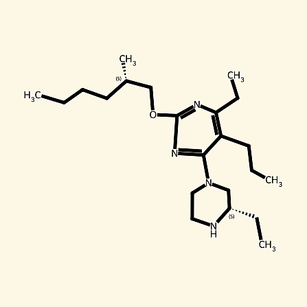 CCCC[C@H](C)COc1nc(CC)c(CCC)c(N2CCN[C@@H](CC)C2)n1